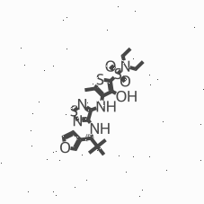 CCN(CC)S(=O)(=O)c1sc(C)c(Nc2nsnc2N[C@@H](c2ccoc2)C(C)(C)C)c1O